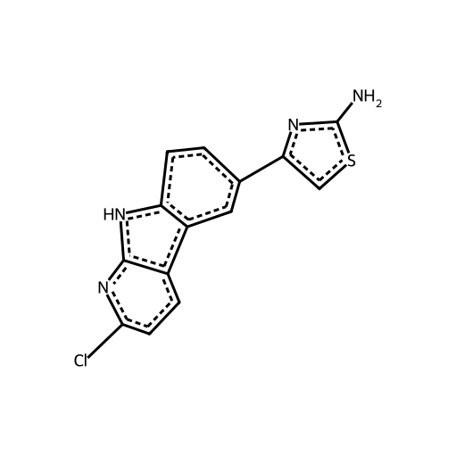 Nc1nc(-c2ccc3[nH]c4nc(Cl)ccc4c3c2)cs1